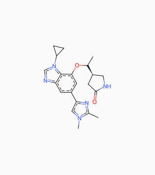 Cc1nc(-c2cc(OC(C)[C@H]3CNC(=O)C3)c3c(c2)ncn3C2CC2)cn1C